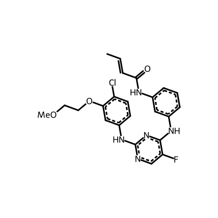 C/C=C/C(=O)Nc1cccc(Nc2nc(Nc3ccc(Cl)c(OCCOC)c3)ncc2F)c1